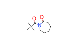 CC(C)(C)C(=O)N1CCCCCC1=O